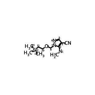 C=Nc1c(C#N)cnn1COCC[Si](C)(C)C